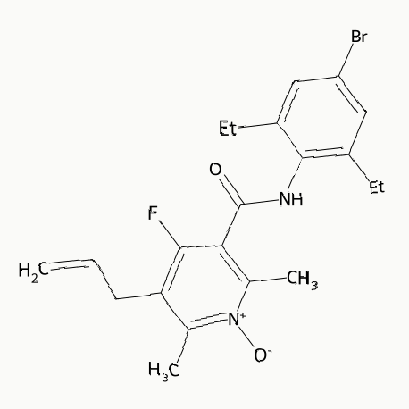 C=CCc1c(F)c(C(=O)Nc2c(CC)cc(Br)cc2CC)c(C)[n+]([O-])c1C